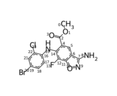 COC(=O)c1cc2c(N)noc2c(F)c1Nc1ccc(Br)cc1Cl